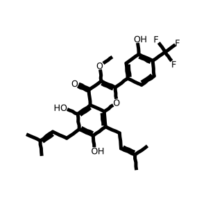 COc1c(-c2ccc(C(F)(F)F)c(O)c2)oc2c(CC=C(C)C)c(O)c(CC=C(C)C)c(O)c2c1=O